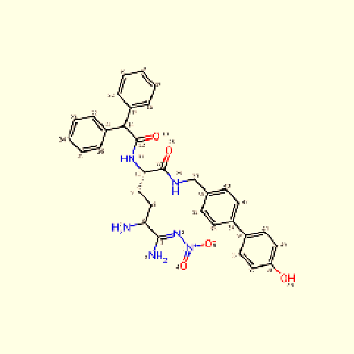 NC(=N[N+](=O)[O-])C(N)CC[C@H](NC(=O)C(c1ccccc1)c1ccccc1)C(=O)NCc1ccc(-c2ccc(O)cc2)cc1